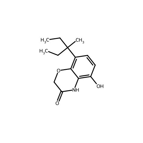 CCC(C)(CC)c1ccc(O)c2c1OCC(=O)N2